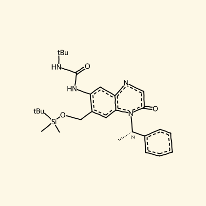 C[C@@H](c1ccccc1)n1c(=O)cnc2cc(NC(=O)NC(C)(C)C)c(CO[Si](C)(C)C(C)(C)C)cc21